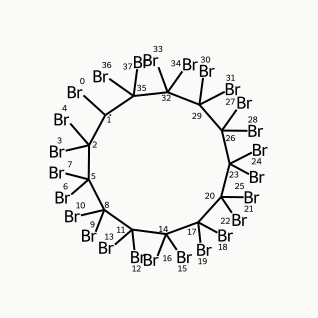 Br[C]1C(Br)(Br)C(Br)(Br)C(Br)(Br)C(Br)(Br)C(Br)(Br)C(Br)(Br)C(Br)(Br)C(Br)(Br)C(Br)(Br)C(Br)(Br)C(Br)(Br)C1(Br)Br